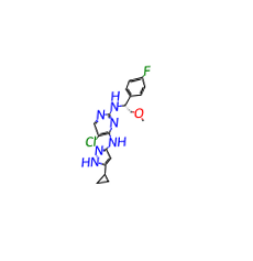 COC[C@H](Nc1ncc(Cl)c(Nc2cc(C3CC3)[nH]n2)n1)c1ccc(F)cc1